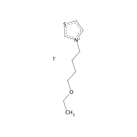 CCOCCCC[n+]1ccsc1.[I-]